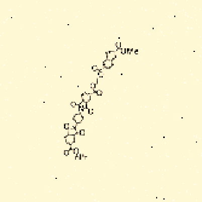 CCCOC(=O)c1ccc2c(c1)C(=O)N(c1ccc(N3C(=O)c4ccc(C(=O)OCCOC(=O)c5ccc6cc(C(=O)OC)ccc6c5)cc4C3=O)cc1)C2=O